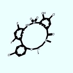 C[C@H]1CN(C)C(=O)c2cc(Cl)c(O)c(c2)S(=O)(=O)Nc2cc(c(F)cc2F)-c2cc(Cl)ccc2O1